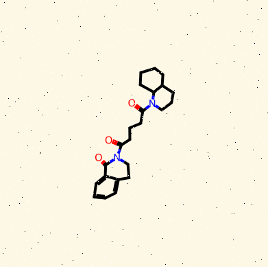 O=C(CCCC(=O)N1CCCC2CCCCC21)N1CCc2ccccc2C1=O